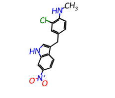 CNc1ccc(Cc2c[nH]c3cc([N+](=O)[O-])ccc23)cc1Cl